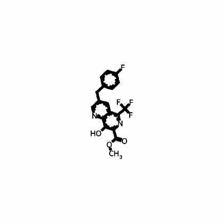 COC(=O)c1nc(C(F)(F)F)c2cc(Cc3ccc(F)cc3)cnc2c1O